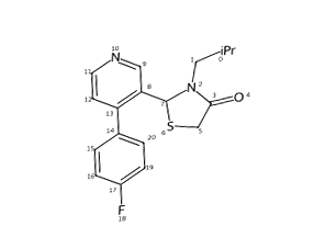 CC(C)CN1C(=O)CSC1c1cnccc1-c1ccc(F)cc1